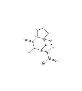 CC1C(=O)N2CCSC23CCN(C(=O)C(C)(C)C)C1C3